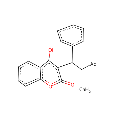 CC(=O)CC(c1ccccc1)c1c(O)c2ccccc2oc1=O.[CaH2]